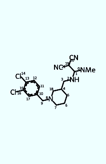 CNC(NCC1CCCN(Cc2ccc(Cl)c(Cl)c2)C1)C(C#N)C#N